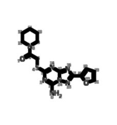 Nc1nc(SCC(=O)N2CCCCC2)nc2nc(-c3ccco3)nn12